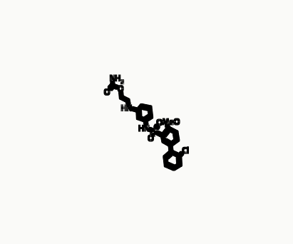 COc1ccc(-c2ccccc2Cl)cc1S(=O)(=O)Nc1cccc(NCCOC(N)=O)c1